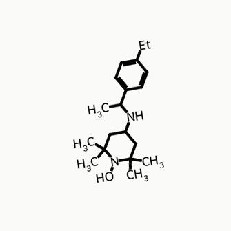 CCc1ccc(C(C)NC2CC(C)(C)N(O)C(C)(C)C2)cc1